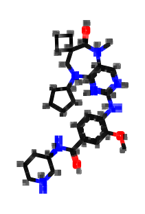 COc1cc(C(=O)N[C@@H]2CCCNC2)ccc1Nc1ncc2c(n1)N(C1CCCC1)CC1(CCC1)C(=O)N2C